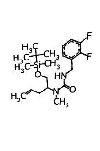 C=CCC(CO[Si](C)(C)C(C)(C)C)N(C)C(=O)NCc1cccc(F)c1F